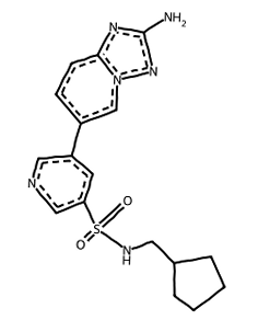 Nc1nc2ccc(-c3cncc(S(=O)(=O)NCC4CCCC4)c3)cn2n1